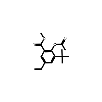 CCc1cc(C(=O)OC)c(OC(C)=O)c(C(C)(C)C)c1